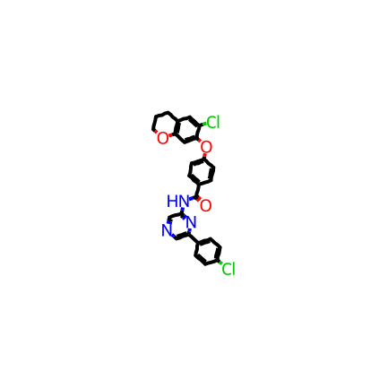 O=C(Nc1cncc(-c2ccc(Cl)cc2)n1)c1ccc(Oc2cc3c(cc2Cl)CCCO3)cc1